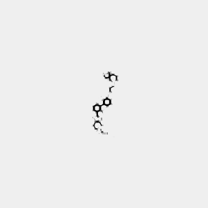 Cc1c(OCCCN2CCCC3(CCOC3)C2)cccc1-c1cccc(-c2nc3c(s2)CCN(C(=O)OC(C)(C)C)C3)c1C